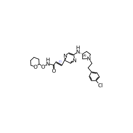 O=C(/C=C/c1cnc(N[C@@H]2CCN(CCc3ccc(Cl)cc3)C2)cn1)NOC1CCCCO1